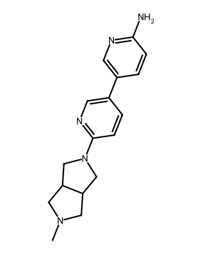 CN1CC2CN(c3ccc(-c4ccc(N)nc4)cn3)CC2C1